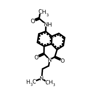 CC(=O)Nc1ccc2c3c(cccc13)C(=O)N(CCN(C)C)C2=O